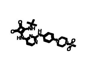 CC(C)(C)Nc1c(Nc2ccnc(Nc3ccc(N4CCN(S(C)(=O)=O)CC4)cc3)n2)c(=O)c1=O